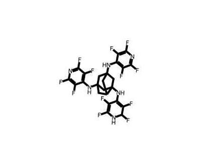 FC1=C(F)C(NC23CC4(Nc5c(F)c(F)nc(F)c5F)CC2CC(Nc2c(F)c(F)nc(F)c2F)(C4)C3)=C(F)C(F)N1